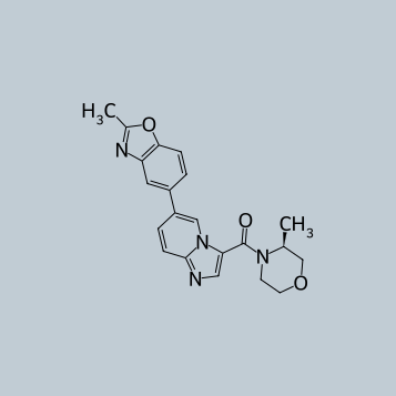 Cc1nc2cc(-c3ccc4ncc(C(=O)N5CCOC[C@@H]5C)n4c3)ccc2o1